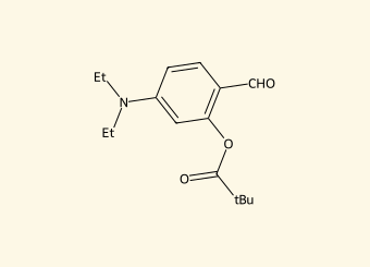 CCN(CC)c1ccc(C=O)c(OC(=O)C(C)(C)C)c1